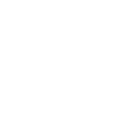 O=S(=O)(OC1CCCCC1)C(F)(F)F